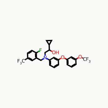 OC(CN(Cc1cc(C(F)(F)F)ccc1F)c1cccc(Oc2cccc(OC(F)(F)F)c2)c1)C1CC1